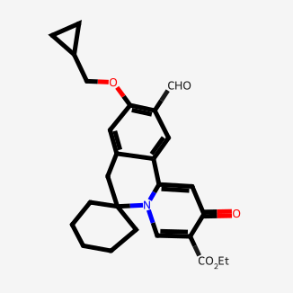 CCOC(=O)c1cn2c(cc1=O)-c1cc(C=O)c(OCC3CC3)cc1CC21CCCCC1